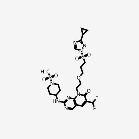 CS(=O)(=O)N1CCC(Nc2ncc3cc(C(F)F)c(=O)n(CCOCCCS(=O)(=O)n4cnc(C5CC5)n4)c3n2)CC1